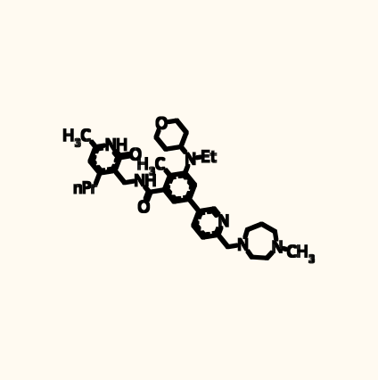 CCCc1cc(C)[nH]c(=O)c1CNC(=O)c1cc(-c2ccc(CN3CCCN(C)CC3)nc2)cc(N(CC)C2CCOCC2)c1C